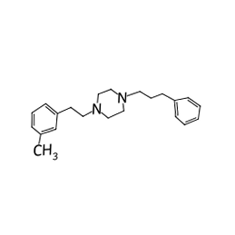 Cc1cccc(CCN2CCN(CCCc3ccccc3)CC2)c1